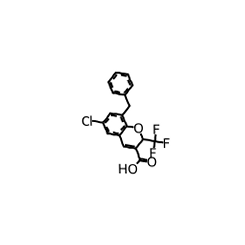 O=C(O)C1=Cc2cc(Cl)cc(Cc3ccccc3)c2OC1C(F)(F)F